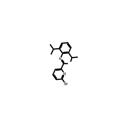 CC(=Nc1c(C(C)C)cccc1C(C)C)c1cccc(Br)n1